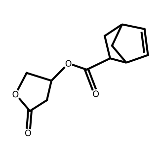 O=C1CC(OC(=O)C2CC3C=CC2C3)CO1